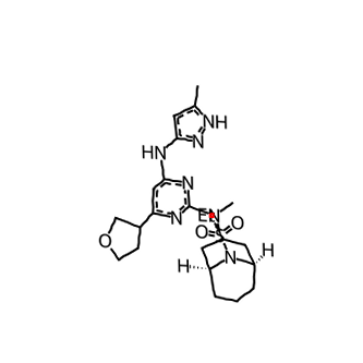 CCS(=O)(=O)N1[C@@H]2CCC[C@H]1C[C@@H](N(C)c1nc(Nc3cc(C)[nH]n3)cc(C3CCOC3)n1)C2